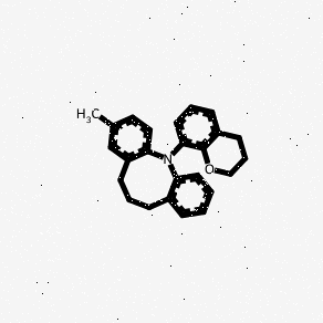 Cc1ccc2c(c1)CCCc1ccccc1N2c1cccc2c1OCCC2